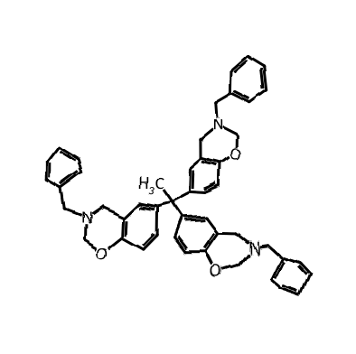 CC(c1ccc2c(c1)CN(Cc1ccccc1)CO2)(c1ccc2c(c1)CN(Cc1ccccc1)CO2)c1ccc2c(c1)CN(Cc1ccccc1)CO2